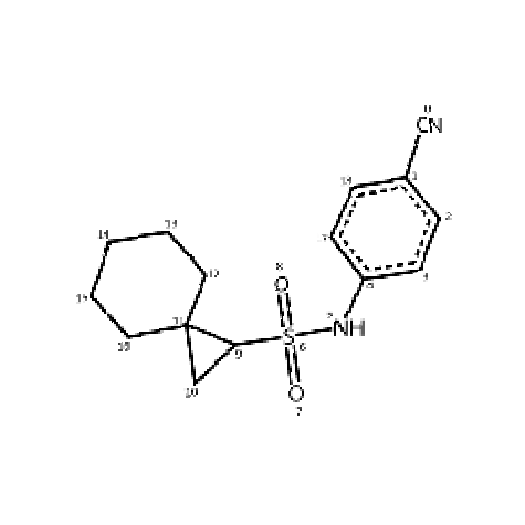 N#Cc1ccc(NS(=O)(=O)C2CC23CCCCC3)cc1